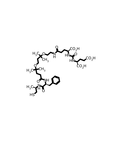 C[C@H](CS)NC(=O)[C@H](Cc1ccccc1)NC(=O)CCC(C)(C)OCCC(C)(C)OCCNC(=O)CC[C@H](NC(=O)N[C@@H](CCC(=O)O)C(=O)O)C(=O)O